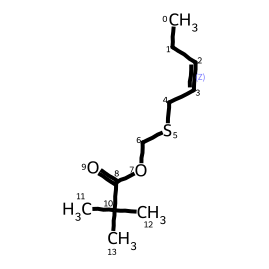 CC/C=C\CSCOC(=O)C(C)(C)C